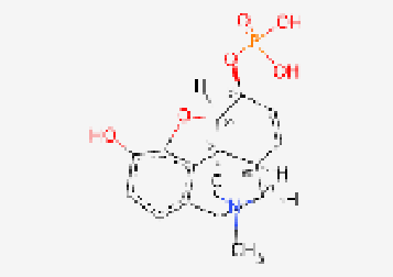 CN1CC[C@]23c4c5ccc(O)c4O[C@H]2[C@@H](OP(=O)(O)O)C=C[C@H]3[C@H]1C5